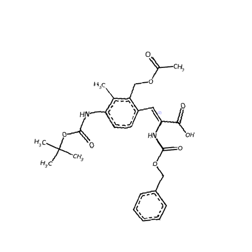 CC(=O)OCc1c(/C=C(\NC(=O)OCc2ccccc2)C(=O)O)ccc(NC(=O)OC(C)(C)C)c1C